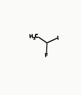 CC(F)I